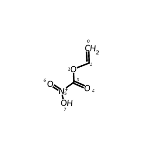 C=COC(=O)[N+](=O)O